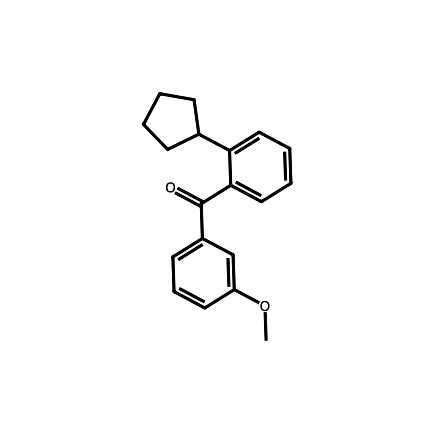 COc1cccc(C(=O)c2ccccc2C2CCCC2)c1